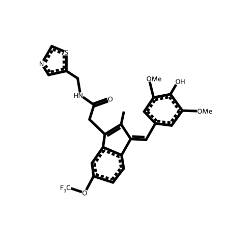 COc1cc(C=C2C(C)=C(CC(=O)NCc3cncs3)c3cc(OC(F)(F)F)ccc32)cc(OC)c1O